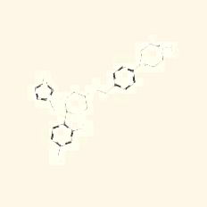 Clc1ccc([C@]2(Cn3ccnc3)OC[C@@H](OCc3ccc(N4CCNCC4)cc3)CO2)c(Cl)c1